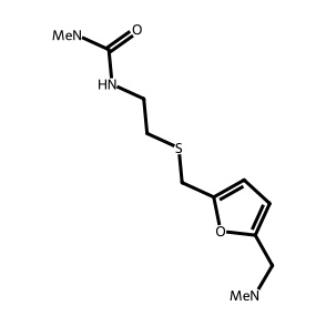 CNCc1ccc(CSCCNC(=O)NC)o1